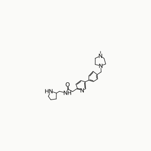 CN1CCN(Cc2ccc(-c3ccc(CC(=O)NCC4CCCN4)nc3)cc2)CC1